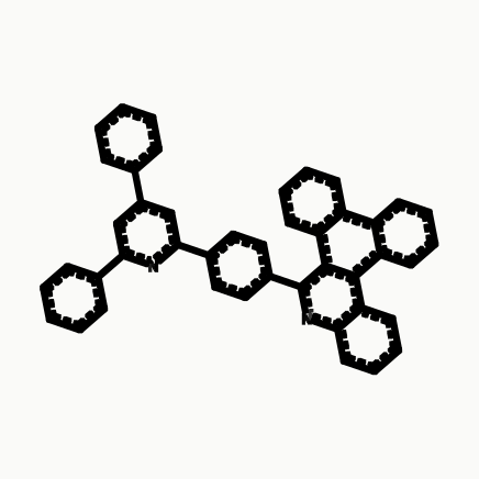 c1ccc(-c2cc(-c3ccccc3)nc(-c3ccc(-c4nc5ccccc5c5c6ccccc6c6ccccc6c45)cc3)c2)cc1